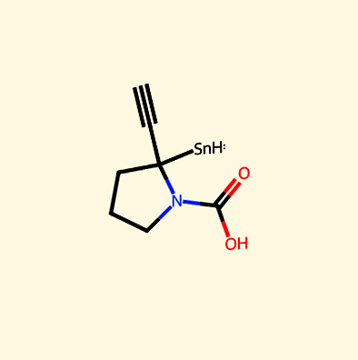 C#C[C]1([SnH])CCCN1C(=O)O